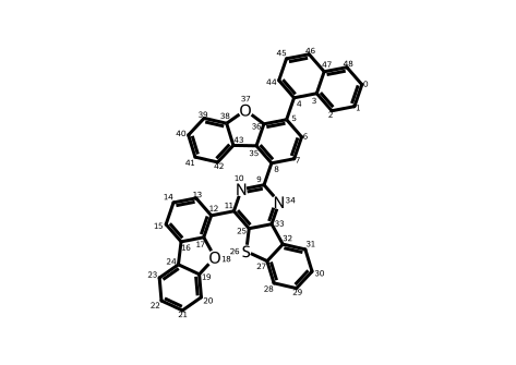 c1ccc2c(-c3ccc(-c4nc(-c5cccc6c5oc5ccccc56)c5sc6ccccc6c5n4)c4c3oc3ccccc34)cccc2c1